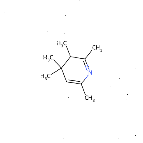 CC1=CC(C)(C)C(C)C(C)=N1